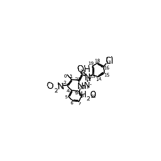 CC1=C([N+](=O)[O-])c2ccccc2N2[N]N(c3ccc(Cl)cc3)C(O)=C12.O